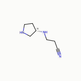 N#CCCN[C@H]1CCNC1